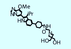 COc1cc(-c2[nH]c3ccc(C4CCC(NC(=O)CN5CC(CO)(CO)C5)CC4)cc3c2C(C)C)cn2ncnc12